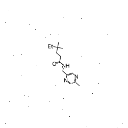 CCC(C)(C)CCC(=O)NCc1cnc(C)cn1